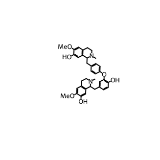 COc1cc2c(cc1O)C(Cc1ccc(Oc3cc(CC4c5cc(O)c(OC)cc5CCN4C)ccc3O)cc1)N(C)CC2